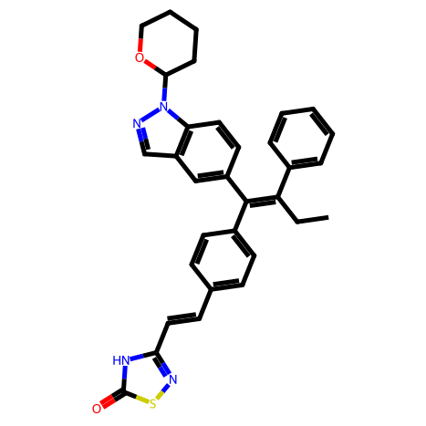 CC/C(=C(\c1ccc(C=Cc2nsc(=O)[nH]2)cc1)c1ccc2c(cnn2C2CCCCO2)c1)c1ccccc1